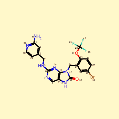 Nc1cc(CNc2ncc3[nH]c(=O)n(Cc4cc(Br)ccc4OC(F)(F)F)c3n2)ccn1